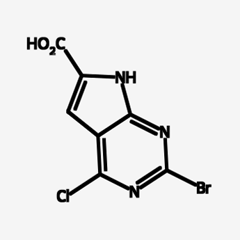 O=C(O)c1cc2c(Cl)nc(Br)nc2[nH]1